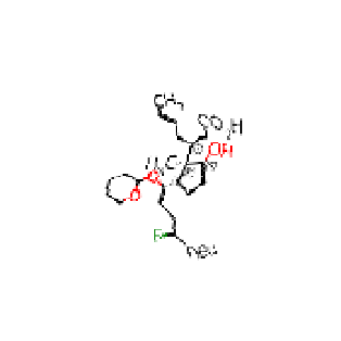 CC=CC[C@@H](CC(=O)O)[C@]1(C)[C@@H](C(=CCC(F)CCCC)OC2CCCCO2)CC[C@@H]1O